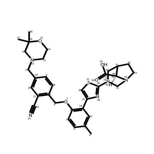 Cc1ccc(OCc2ccc(CN3CCOC(C)(C)C3)cc2C#N)c(-c2csc(N3CC4CCN(C3)[C@H]4C(=O)O)n2)c1